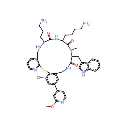 COc1cc(-c2cc(Cl)c3c(c2)CNC(=O)C(Cc2c[nH]c4ccccc24)N(C)C(=O)C(CCCCN)NC(=O)C(CCCN)NCc2cccnc2S3)ccn1